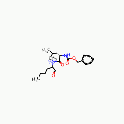 CCCCC(C=O)NC(=O)[C@H](CC(C)C)NC(=O)OCc1ccccc1